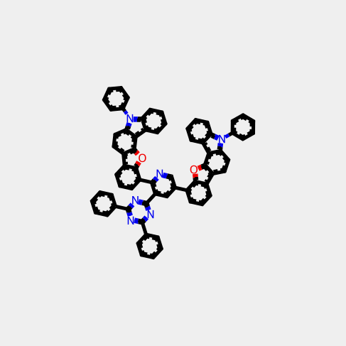 c1ccc(-c2nc(-c3ccccc3)nc(-c3cc(-c4cccc5c4oc4c5ccc5c4c4ccccc4n5-c4ccccc4)cnc3-c3cccc4c3oc3c4ccc4c3c3ccccc3n4-c3ccccc3)n2)cc1